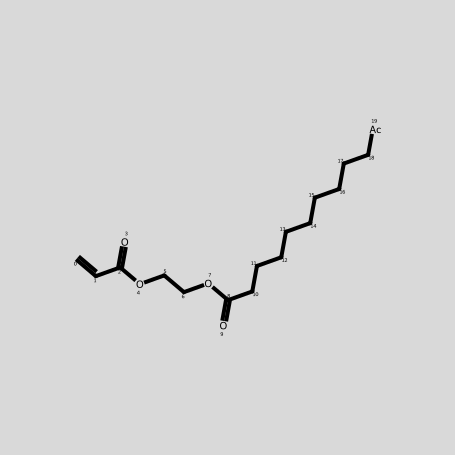 C=CC(=O)OCCOC(=O)CCCCCCCCCC(C)=O